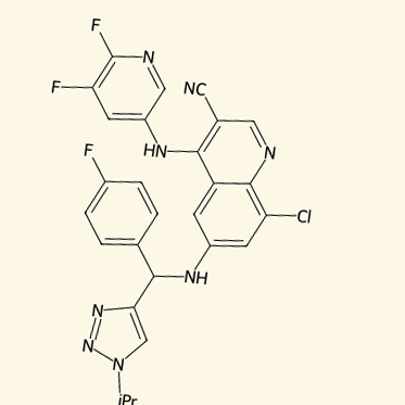 CC(C)n1cc(C(Nc2cc(Cl)c3ncc(C#N)c(Nc4cnc(F)c(F)c4)c3c2)c2ccc(F)cc2)nn1